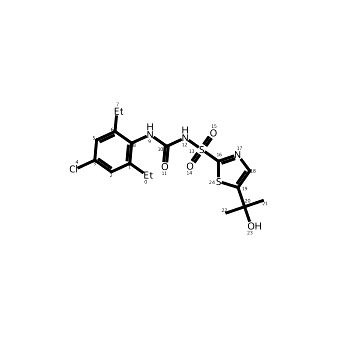 CCc1cc(Cl)cc(CC)c1NC(=O)NS(=O)(=O)c1ncc(C(C)(C)O)s1